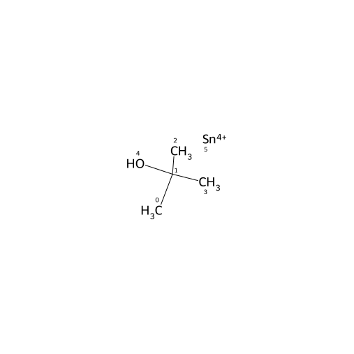 CC(C)(C)O.[Sn+4]